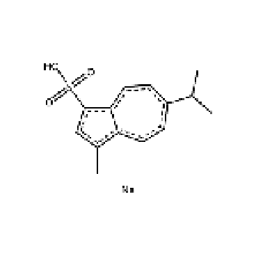 Cc1cc(S(=O)(=O)O)c2ccc(C(C)C)ccc1-2.[Na]